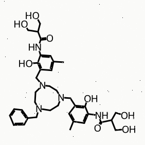 Cc1cc(CN2CCN(Cc3ccccc3)CCN(Cc3cc(C)cc(NC(=O)C(CO)CO)c3O)CC2)c(O)c(NC(=O)C(CO)CO)c1